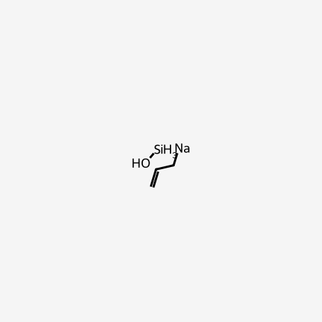 C=C[CH2][Na].O[SiH3]